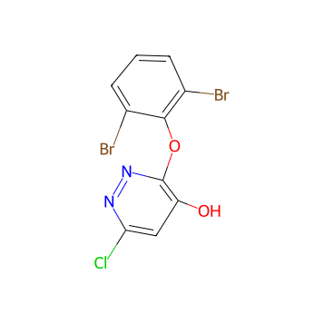 Oc1cc(Cl)nnc1Oc1c(Br)cccc1Br